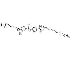 CCCCCCCCCCc1cnc(-c2ccc(OC(=O)c3ccc(OCCCCCC)c(Br)c3)cc2)nc1